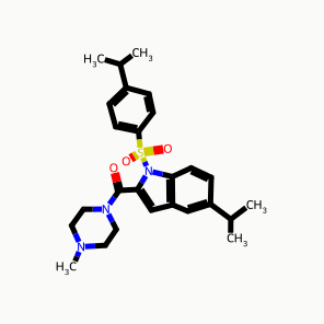 CC(C)c1ccc(S(=O)(=O)n2c(C(=O)N3CCN(C)CC3)cc3cc(C(C)C)ccc32)cc1